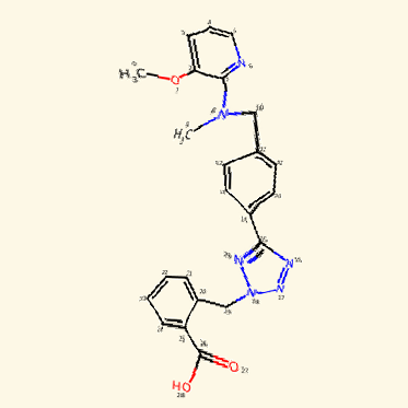 COc1cccnc1N(C)Cc1ccc(-c2nnn(Cc3ccccc3C(=O)O)n2)cc1